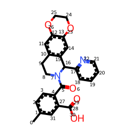 Cc1ccc(C(=O)N2CCc3cc4c(cc3C2c2ccccn2)OCCO4)c(C(=O)O)c1